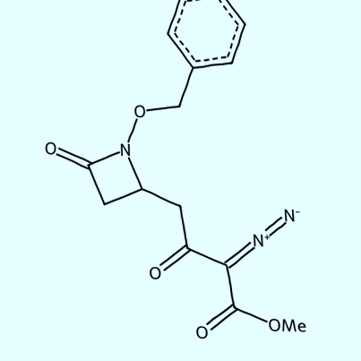 COC(=O)C(=[N+]=[N-])C(=O)CC1CC(=O)N1OCc1ccccc1